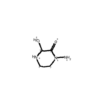 NN1CCNC(O)C1=O